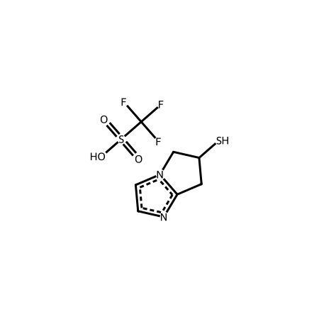 O=S(=O)(O)C(F)(F)F.SC1Cc2nccn2C1